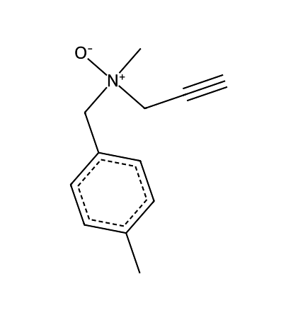 C#CC[N+](C)([O-])Cc1ccc(C)cc1